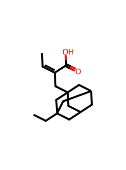 CC=C(CC12CC3CC(CC(CC)(C3)C1)C2)C(=O)O